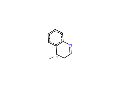 C[C@H]1CC=Nc2ccccc21